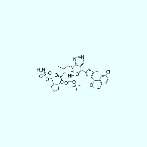 Cc1sc(C(=O)c2cncnc2NCC(C)[C@H](NC(=O)OC(C)(C)C)C(=O)OC2CCCC2COS(N)(=O)=O)cc1[C@@H]1OCCc2ccc(Cl)cc21